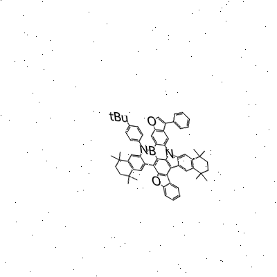 CC(C)(C)c1ccc(N2B3c4cc5occ(-c6ccccc6)c5cc4-n4c5cc6c(cc5c5c7c(oc8ccccc87)c(c3c54)-c3cc4c(cc32)C(C)(C)CCC4(C)C)C(C)(C)CCC6(C)C)cc1